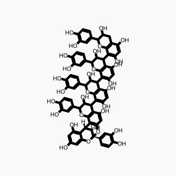 Oc1cc(O)c2c(c1)O[C@@]1(c3ccc(O)c(O)c3)Oc3cc(O)c4c(c3[C@@H]2[C@H]1O)OC(c1ccc(O)c(O)c1)C(O)C4c1c(O)cc(O)c2c1OC(c1ccc(O)c(O)c1)C(O)C2c1c(O)cc(O)c2c1OC(c1ccc(O)c(O)c1)C(O)C2c1c(O)cc(O)c2c1OC(c1ccc(O)c(O)c1)C(O)C2